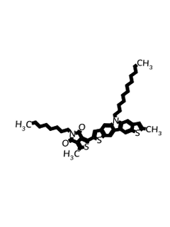 CCCCCCCCCCCCn1c2cc3cc(C)sc3cc2c2cc3sc(-c4sc(C)c5c4C(=O)N(CCCCCCCC)C5=O)cc3cc21